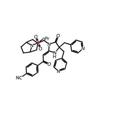 CCCS(=O)(=O)N1C2CCC1CC(CN1C(=O)C(Cc3ccncc3)(Cc3ccncc3)NC1=CC(=O)c1ccc(C#N)cc1)C2